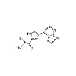 CCCCN(CC)C(=O)c1cc(-c2ccnc3[nH]ccc23)c[nH]1